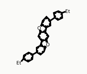 CCc1ccc(-c2ccc3oc4cc5c(cc4c3c2)oc2ccc(-c3ccc(CC)cc3)cc25)cc1